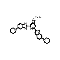 C1=CC2N=C(c3cccc(C4=NC5C=CC(N6CCCCC6)=CC5=N4)n3)N=C2C=C1N1CCCCC1.[Cl-].[Cl-].[Fe+2]